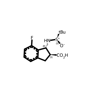 CC(C)(C)[S@@+]([O-])N[C@H]1c2c(F)cccc2C[C@@H]1C(=O)O